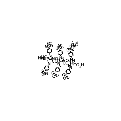 O=C(O)c1nn(-c2ccc(S(=O)(=O)[O-])cc2)c(O)c1/N=N/c1ccc(S(=O)(=O)[O-])cc1.O=C(O)c1nn(-c2ccc(S(=O)(=O)[O-])cc2)c(O)c1/N=N/c1ccc(S(=O)(=O)[O-])cc1.O=C(O)c1nn(-c2ccc(S(=O)(=O)[O-])cc2)c(O)c1/N=N/c1ccc(S(=O)(=O)[O-])cc1.[Na+].[Na+].[Na+].[Na+].[Na+].[Na+]